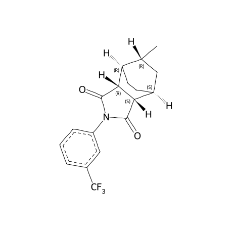 C[C@@H]1C[C@@H]2CC[C@H]1[C@H]1C(=O)N(c3cccc(C(F)(F)F)c3)C(=O)[C@@H]21